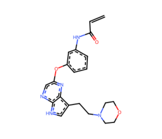 C=CC(=O)Nc1cccc(Oc2cnc3[nH]cc(CCN4CCOCC4)c3n2)c1